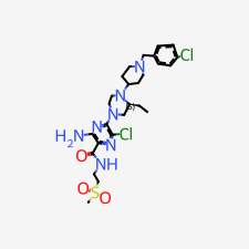 CC[C@H]1CN(c2nc(N)c(C(=O)NCCS(C)(=O)=O)nc2Cl)CCN1C1CCN(Cc2ccc(Cl)cc2)CC1